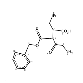 CC(C)CC(C(=O)O)N(C(=O)CN)C(=O)OCc1ccccc1